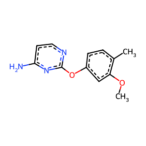 COc1cc(Oc2nccc(N)n2)ccc1C